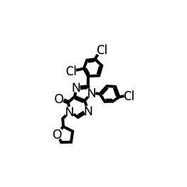 O=c1c2nc(-c3ccc(Cl)cc3Cl)n(-c3ccc(Cl)cc3)c2ncn1CC1CCCO1